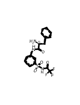 N[C@@H](Cc1ccccc1)C(=O)Nc1cccc(S(=O)(=O)NC(=O)C(F)(F)F)c1